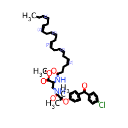 CC/C=C\C/C=C\C/C=C\C/C=C\C/C=C\C/C=C\CCC(=O)NC(CNC(=O)C(C)(C)Oc1ccc(C(=O)c2ccc(Cl)cc2)cc1)C(=O)OC